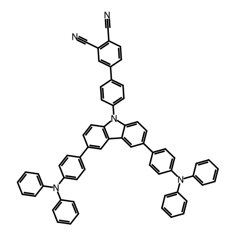 N#Cc1ccc(-c2ccc(-n3c4ccc(-c5ccc(N(c6ccccc6)c6ccccc6)cc5)cc4c4cc(-c5ccc(N(c6ccccc6)c6ccccc6)cc5)ccc43)cc2)cc1C#N